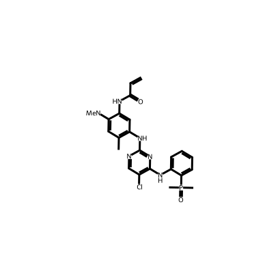 C=CC(=O)Nc1cc(Nc2ncc(Cl)c(Nc3ccccc3P(C)(C)=O)n2)c(C)cc1NC